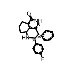 O=c1[nH]nc2c3c1CCCC3N[C@H](c1ccc(F)cc1)[C@H]2c1ccccc1